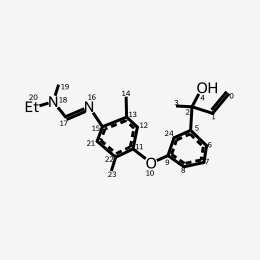 C=CC(C)(O)c1cccc(Oc2cc(C)c(/N=C/N(C)CC)cc2C)c1